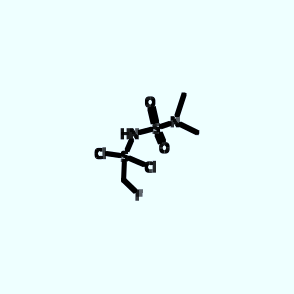 CN(C)S(=O)(=O)NS(Cl)(Cl)CF